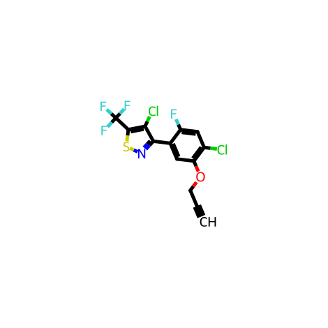 C#CCOc1cc(-c2nsc(C(F)(F)F)c2Cl)c(F)cc1Cl